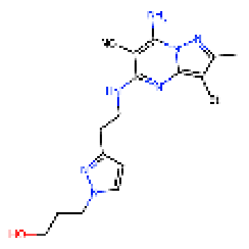 CCc1c(C)nn2c(N)c(C#N)c(NCCc3ccn(CCCO)n3)nc12